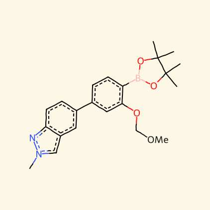 COCOc1cc(-c2ccc3nn(C)cc3c2)ccc1B1OC(C)(C)C(C)(C)O1